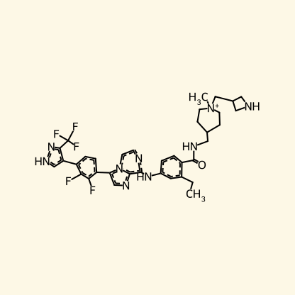 CCc1cc(Nc2nccn3c(-c4ccc(-c5c[nH]nc5C(F)(F)F)c(F)c4F)cnc23)ccc1C(=O)NCC1CC[N+](C)(CC2CNC2)CC1